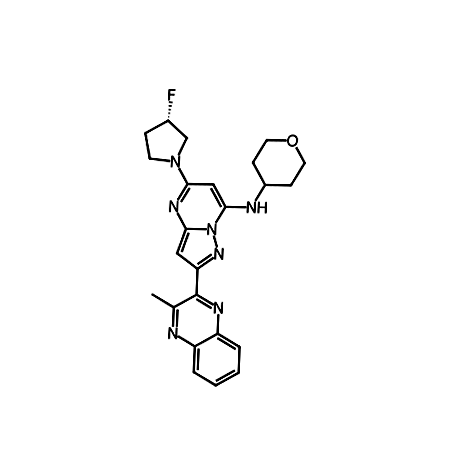 Cc1nc2ccccc2nc1-c1cc2nc(N3CC[C@H](F)C3)cc(NC3CCOCC3)n2n1